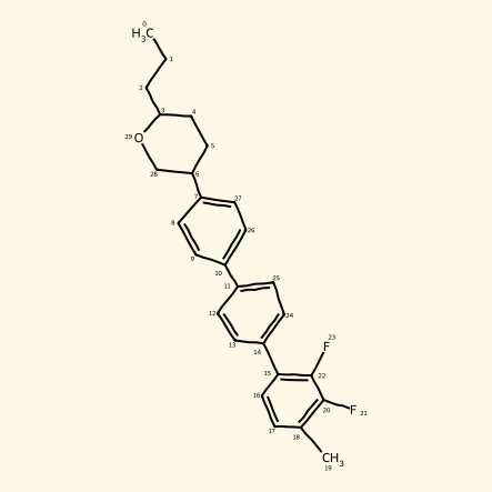 CCCC1CCC(c2ccc(-c3ccc(-c4ccc(C)c(F)c4F)cc3)cc2)CO1